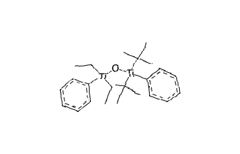 C[CH2][Ti]([CH2]C)([O][Ti]([c]1ccccc1)([C](C)(C)C)[C](C)(C)C)[c]1ccccc1